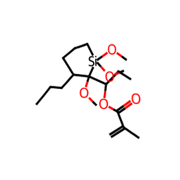 C=C(C)C(=O)OC(CC)C1(OC)C(CCC)CCC[Si]1(OC)OC